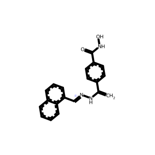 C=C(N/N=C/c1cccc2ccccc12)c1ccc(C(=O)NO)cc1